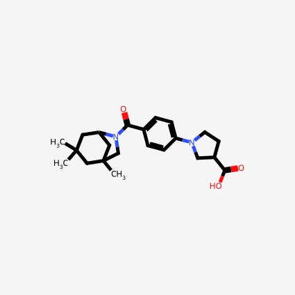 CC1(C)CC2CC(C)(CN2C(=O)c2ccc(N3CCC(C(=O)O)C3)cc2)C1